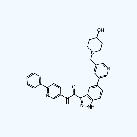 O=C(Nc1ccc(-c2ccccc2)nc1)c1n[nH]c2ccc(-c3cncc(CN4CCC(O)CC4)c3)cc12